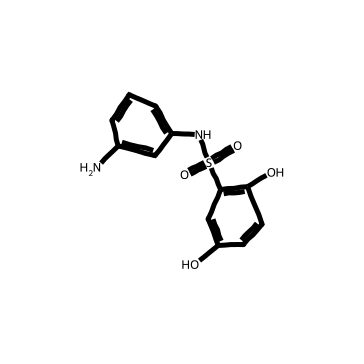 Nc1cccc(NS(=O)(=O)c2cc(O)ccc2O)c1